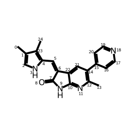 Cc1c[nH]c(C=C2C(=O)Nc3nc(C)c(-c4ccncc4)cc32)c1C